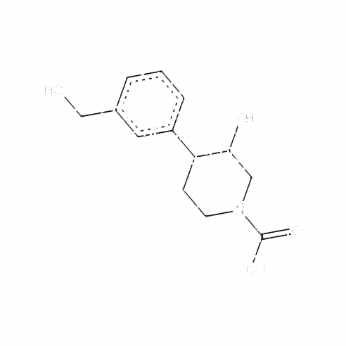 CC1CN(C(=O)O)CCC1c1cccc(CO)c1